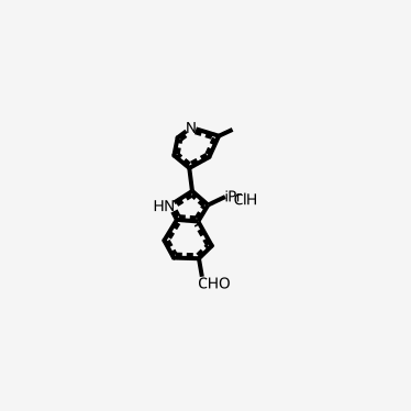 Cc1cc(-c2[nH]c3ccc(C=O)cc3c2C(C)C)ccn1.Cl